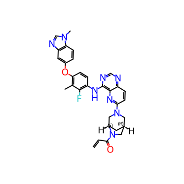 C=CC(=O)N1C[C@@H]2C[C@H]1CN(c1ccc3ncnc(Nc4ccc(Oc5ccc6c(c5)ncn6C)c(C)c4F)c3n1)C2